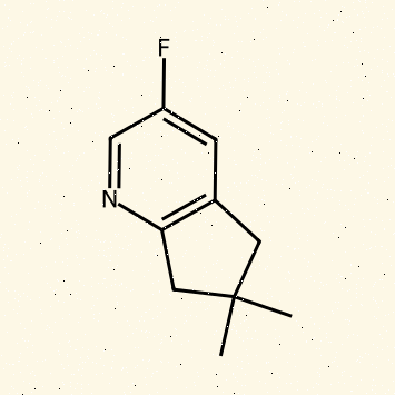 CC1(C)Cc2cc(F)cnc2C1